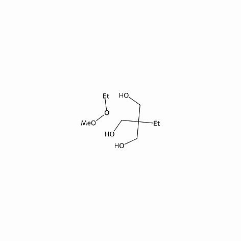 CCC(CO)(CO)CO.CCOOC